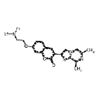 CCN(CC)CCOc1ccc2cc(-c3cn4cc(C)nc(C)c4n3)c(=O)oc2c1